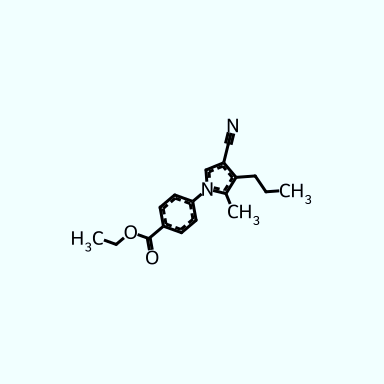 CCCc1c(C#N)cn(-c2ccc(C(=O)OCC)cc2)c1C